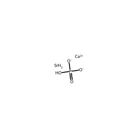 O=P([O-])([O-])O.[Ca+2].[SrH2]